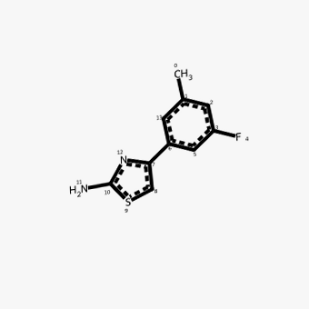 Cc1cc(F)cc(-c2csc(N)n2)c1